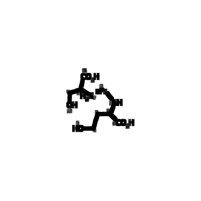 CCCNC(CCO)C(=O)O.NC(CO)C(=O)O